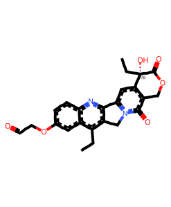 CCc1c2c(nc3ccc(OCC=O)cc13)-c1cc3c(c(=O)n1C2)COC(=O)[C@]3(O)CC